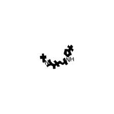 CC(C1CN(CC(C)(C)C)C1)C(C)(C)CCC(C)(C)NC1CCC(C(C)(C)C)C1